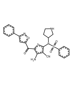 N#Cc1c(N(C2CCNC2)S(=O)(=O)c2ccccc2)sc(C(=O)c2cc(-c3ccccc3)no2)c1N